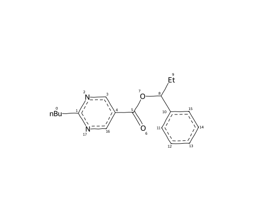 CCCCc1ncc(C(=O)OC(CC)c2ccccc2)cn1